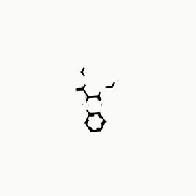 CCOC(=O)C(Nc1ccccc1)C(=O)OCC